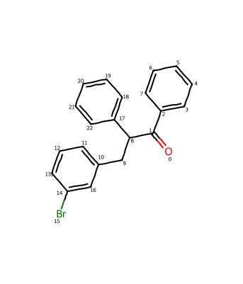 O=C(c1ccccc1)C(Cc1cc[c]c(Br)c1)c1ccccc1